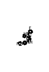 CN1CCN(c2ccc(Nc3ncc4nc(NC5C=CC=C(F)C5)n(C5CCCC5)c4n3)cc2)CC1